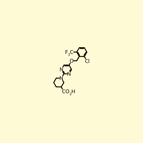 O=C(O)C1CCCN(c2ncc(OCc3c(Cl)cccc3C(F)(F)F)cn2)C1